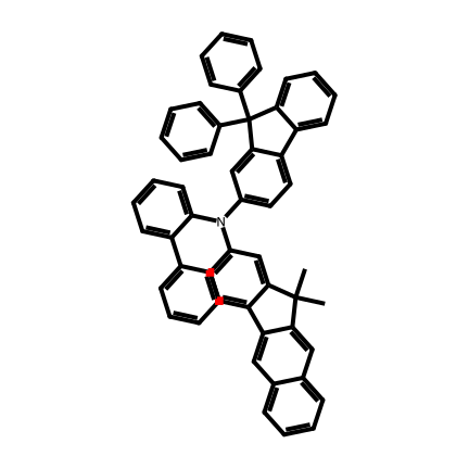 CC1(C)c2cc(N(c3ccc4c(c3)C(c3ccccc3)(c3ccccc3)c3ccccc3-4)c3ccccc3-c3ccccc3)ccc2-c2cc3ccccc3cc21